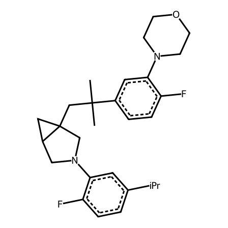 CC(C)c1ccc(F)c(N2CC3CC3(CC(C)(C)c3ccc(F)c(N4CCOCC4)c3)C2)c1